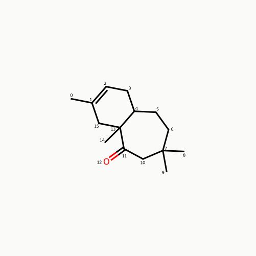 CC1=CCC2CCC(C)(C)CC(=O)C2(C)C1